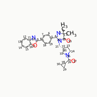 CC1(C)N=C(c2ccc(-c3nc4ccccc4o3)cc2)N(C[C@@H]2CCN(C(=O)C3CC3)C2)C1=O